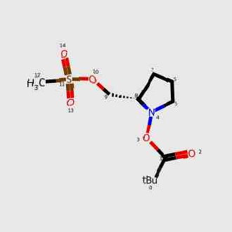 CC(C)(C)C(=O)ON1CCC[C@H]1COS(C)(=O)=O